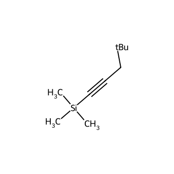 CC(C)(C)CC#C[Si](C)(C)C